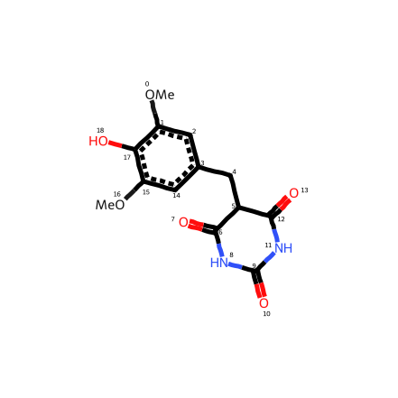 COc1cc(CC2C(=O)NC(=O)NC2=O)cc(OC)c1O